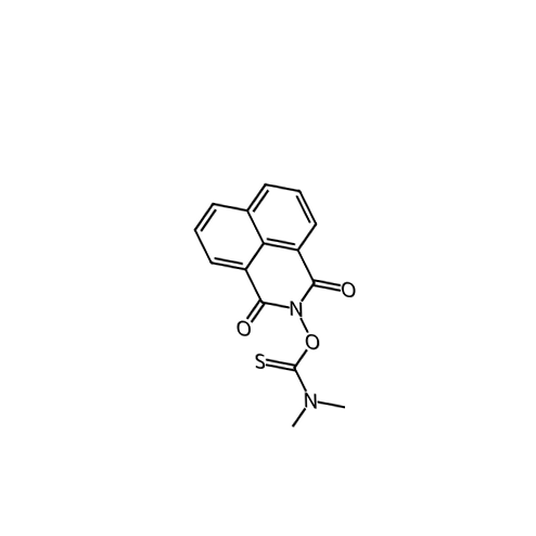 CN(C)C(=S)ON1C(=O)c2cccc3cccc(c23)C1=O